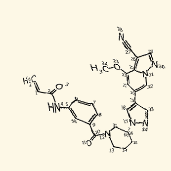 C=CC(=O)Nc1cccc(C(=O)N2CCC[C@@H](n3cc(-c4cc(OC)c5c(C#N)cnn5c4)cn3)C2)c1